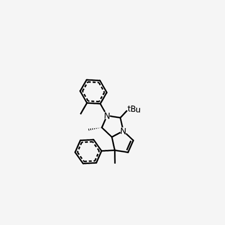 Cc1ccccc1N1C(C(C)(C)C)N2C=CC(C)(c3ccccc3)C2[C@@H]1C